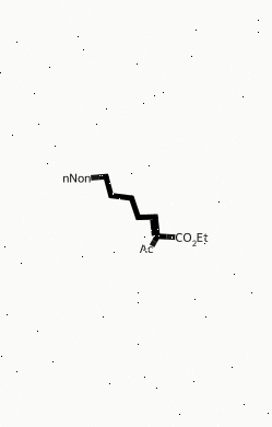 CCCCCCCCCCCCC/C=C(\C(C)=O)C(=O)OCC